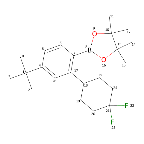 CC(C)(C)c1ccc(B2OC(C)(C)C(C)(C)O2)c(C2CCC(F)(F)CC2)c1